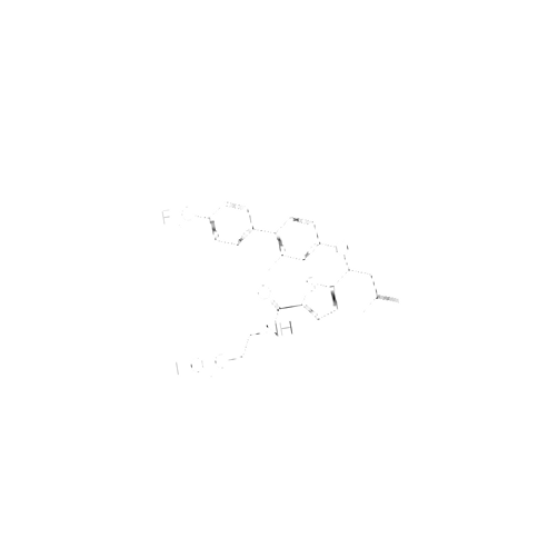 C=C(C)CC(Oc1ccc(-c2ccc(C(F)(F)F)cc2)c(C)c1)c1ccc(C(=O)NCCC(=O)O)s1